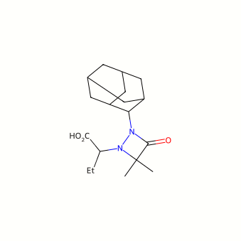 CCC(C(=O)O)N1N(C2C3CC4CC(C3)CC2C4)C(=O)C1(C)C